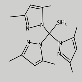 Cc1cc(C)n(C([SiH3])(n2nc(C)cc2C)n2nc(C)cc2C)n1